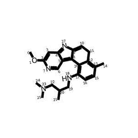 COc1cc2c(cn1)=C1C(=CCc3c(C)ccc(NCC(C)CN(C)C)c31)N=2